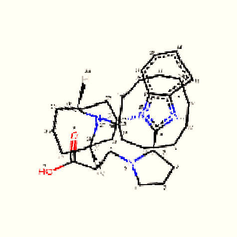 O=C(O)CCN1CCC[C@@H]1c1nc2ccccc2n1[C@H]1C[C@H]2CCC[C@@H](C1)N2C1CCCCCCCCC1